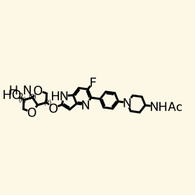 CC(=O)NC1CCN(c2ccc(-c3nc4cc(O[C@@H]5CO[C@@]6(N)C5OC[C@H]6O)[nH]c4cc3F)cc2)CC1